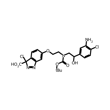 CC(C)(C)OC(=O)N(CCOc1ccc2c(c1)N=NC2(Cl)C(=O)O)CC(O)c1ccc(Cl)c(N)c1